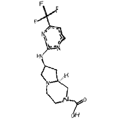 O=C(O)N1CCN2C[C@@H](Nc3nccc(C(F)(F)F)n3)C[C@H]2C1